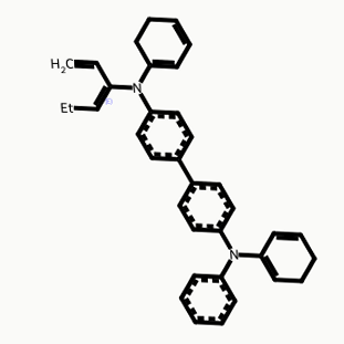 C=C/C(=C\CC)N(C1=CC=CCC1)c1ccc(-c2ccc(N(C3=CCCC=C3)c3ccccc3)cc2)cc1